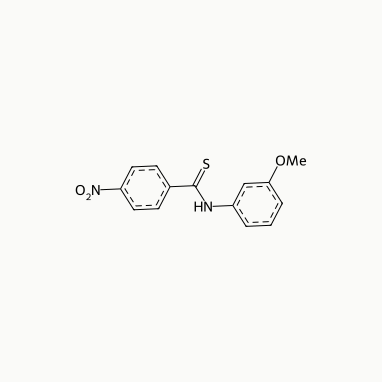 COc1cccc(NC(=S)c2ccc([N+](=O)[O-])cc2)c1